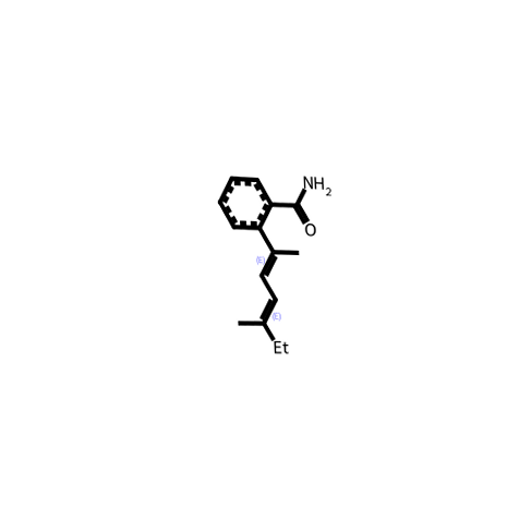 CC/C(C)=C/C=C(\C)c1ccccc1C(N)=O